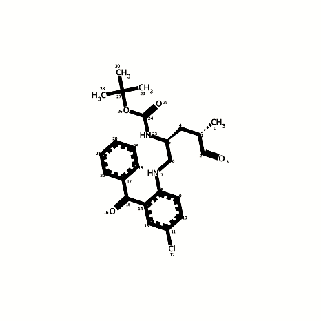 C[C@H](C=O)C[C@@H](CNc1ccc(Cl)cc1C(=O)c1ccccc1)NC(=O)OC(C)(C)C